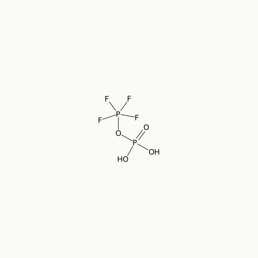 O=P(O)(O)OP(F)(F)(F)F